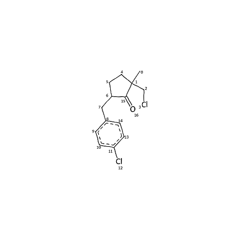 CC1(CCl)CCC(Cc2ccc(Cl)cc2)C1=O